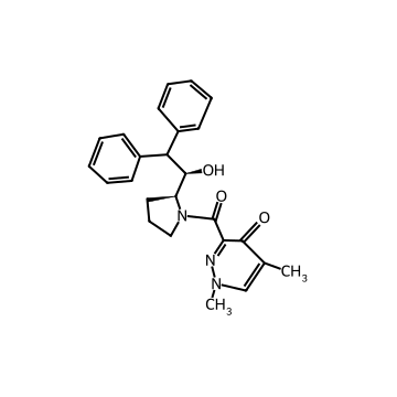 Cc1cn(C)nc(C(=O)N2CCC[C@H]2[C@H](O)C(c2ccccc2)c2ccccc2)c1=O